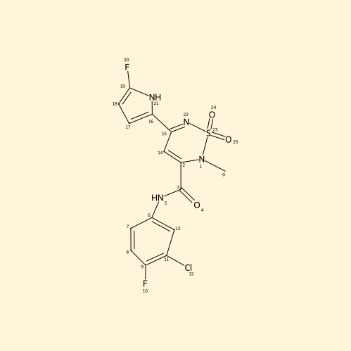 CN1C(C(=O)Nc2ccc(F)c(Cl)c2)=CC(c2ccc(F)[nH]2)=NS1(=O)=O